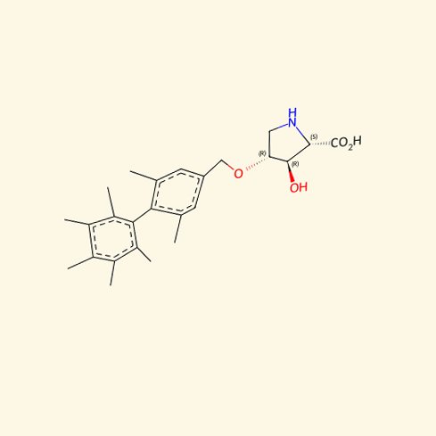 Cc1cc(CO[C@@H]2CN[C@H](C(=O)O)[C@H]2O)cc(C)c1-c1c(C)c(C)c(C)c(C)c1C